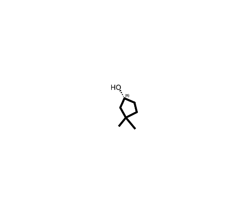 CC1(C)CC[C@@H](O)C1